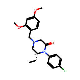 CC[C@@H]1CN(Cc2ccc(OC)cc2OC)CC(=O)N1c1ccc(Cl)cc1